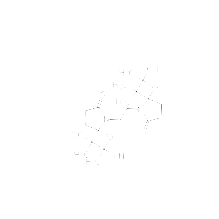 CC1(C)OC2(CCC(=O)N2CCN2C(=S)CCC23OC(C)(C)C3(C)C)C1(C)C